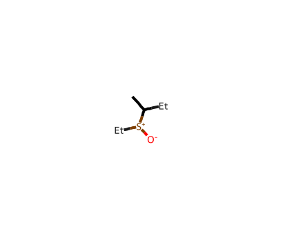 CCC(C)[S+]([O-])CC